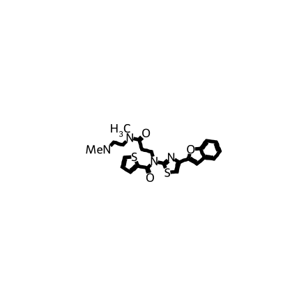 CNCCN(C)C(=O)CCN(C(=O)c1cccs1)c1nc(-c2cc3ccccc3o2)cs1